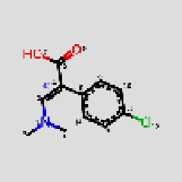 CN(C)/C=C(/C(=O)O)c1ccc(Cl)cc1